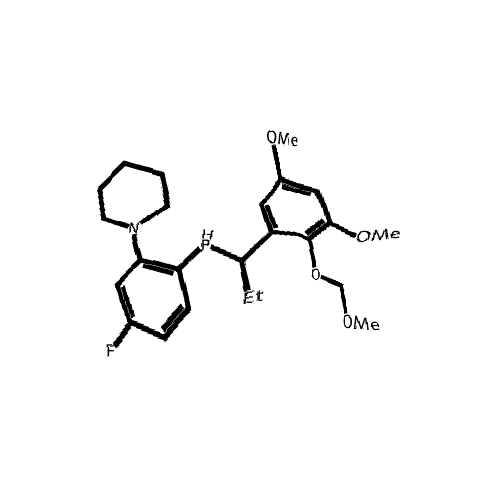 CCC(Pc1ccc(F)cc1N1CCCCC1)c1cc(OC)cc(OC)c1OCOC